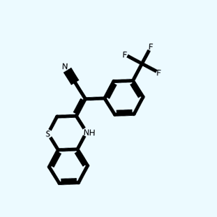 N#C/C(=C1\CSc2ccccc2N1)c1cccc(C(F)(F)F)c1